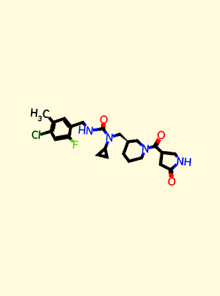 Cc1cc(CNC(=O)N(C[C@@H]2CCCN(C(=O)C3CNC(=O)C3)C2)C2CC2)c(F)cc1Cl